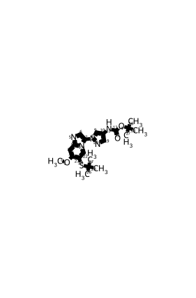 COc1cc2ncc(-n3cc(NC(=O)OC(C)(C)C)cn3)n2cc1SC(C)(C)C